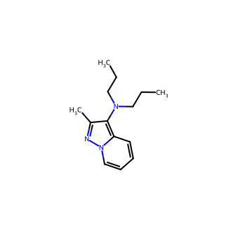 CCCN(CCC)c1c(C)nn2ccccc12